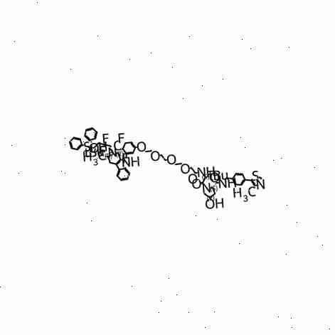 Cc1ncsc1-c1ccc(CNC(=O)[C@@H]2C[C@@H](O)CN2C(=O)[C@@H](NC(=O)COCCOCCOCCOC2=CC(F)C(C)([C@@H]3c4[nH]c5ccccc5c4C[C@@H](C)N3CC(F)(F)CO[Si](c3ccccc3)(c3ccccc3)C(C)(C)C)C(F)=C2)C(C)(C)C)cc1